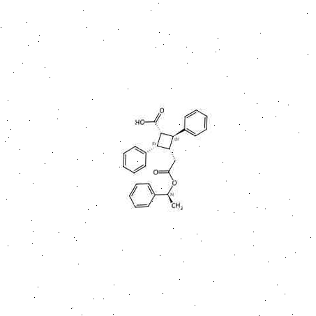 C[C@H](OC(=O)C[C@H]1[C@H](c2ccccc2)[C@@H](C(=O)O)[C@H]1c1ccccc1)c1ccccc1